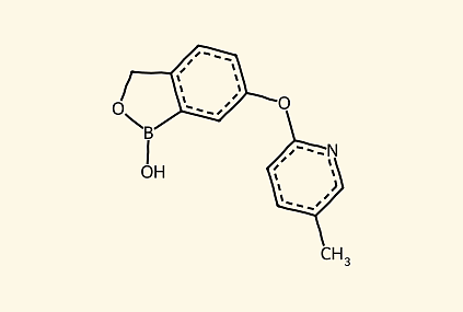 Cc1ccc(Oc2ccc3c(c2)B(O)OC3)nc1